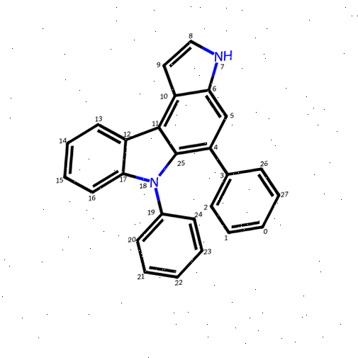 c1ccc(-c2cc3[nH]ccc3c3c4ccccc4n(-c4ccccc4)c23)cc1